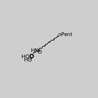 CCCCCC=CCC=CCC=CCC=CCCCC(=O)NCCc1ccc(O)c(O)c1